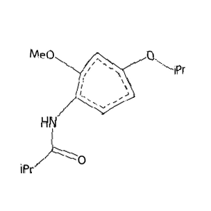 COc1cc(OC(C)C)ccc1NC(=O)C(C)C